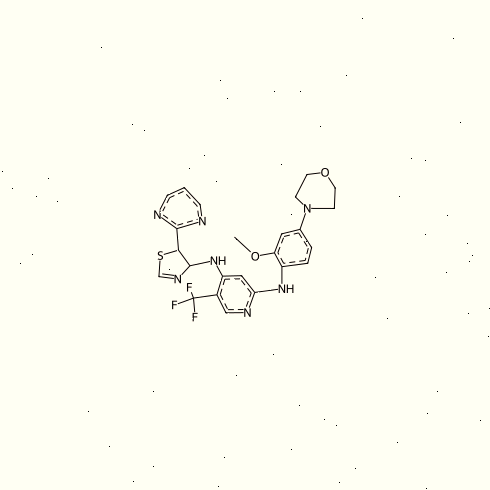 COc1cc(N2CCOCC2)ccc1Nc1cc(NC2N=CSC2c2ncccn2)c(C(F)(F)F)cn1